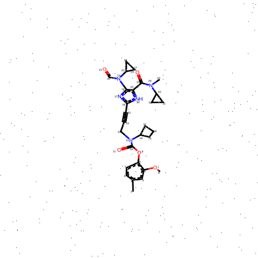 COc1cc(C)ccc1OC(=O)N(CC#Cc1nc(N(C=O)C2CC2)c(C(=O)N(C)C2CC2)[nH]1)C1CCC1